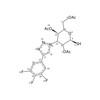 CC(=O)OCC1O[C@@H](S)C(OC(C)=O)C(n2cc(-c3cc(F)c(F)c(F)c3)nn2)[C@H]1OC(C)=O